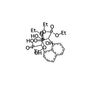 CCOP(=O)(OCC)C(c1cccc2cccc(C(P(=O)(O)O)P(=O)(O)O)c12)P(=O)(OCC)OCC